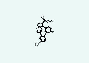 COC(=O)C1CCC2(C=C(c3cc(C(F)(F)F)ccc3Cl)CO2)C1c1ccc(F)cc1